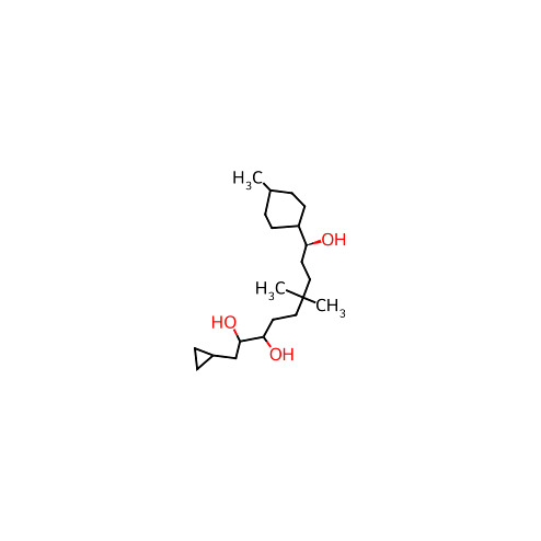 CC1CCC([C@@H](O)CCC(C)(C)CCC(O)C(O)CC2CC2)CC1